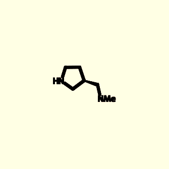 CNC[C@@H]1CCNC1